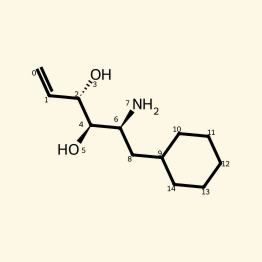 C=C[C@H](O)[C@H](O)[C@@H](N)CC1CCCCC1